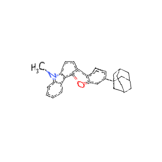 Cn1c2ccccc2c2c3oc4cc(C56CC7CC(CC(C7)C5)C6)ccc4c3ccc21